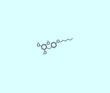 CCCCCCOc1ccc(Cc2c(OC)cc(OC)cc2OC)cc1